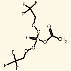 CC(=O)OP(=O)(OOCC(F)(F)F)OOCC(F)(F)F